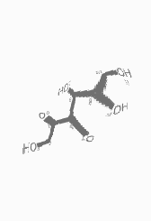 O=C(CO)C(=O)C(O)C(O)CO